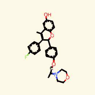 CC1=C(c2ccc(F)cc2)C(c2ccc(OCC(C)N3CCOCC3)cc2)Oc2ccc(O)cc21